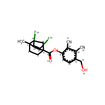 CC12CCC(C(=O)Oc3ccc(CO)c(C#N)c3C#N)(CC1)C(F)=C2F